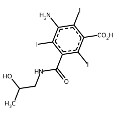 CC(O)CNC(=O)c1c(I)c(N)c(I)c(C(=O)O)c1I